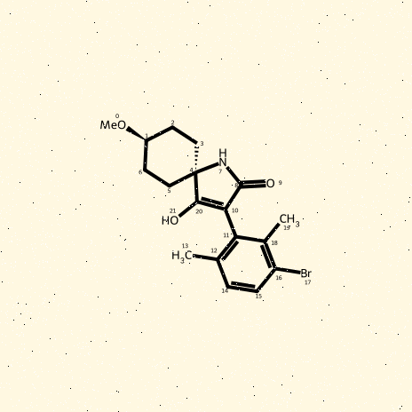 CO[C@H]1CC[C@]2(CC1)NC(=O)C(c1c(C)ccc(Br)c1C)=C2O